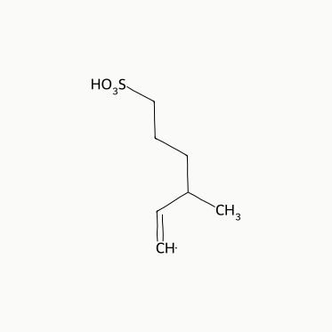 [CH]=CC(C)CCCS(=O)(=O)O